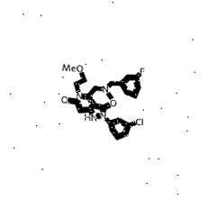 COCCn1c(CN(C)Cc2cccc(F)c2)c2c(=O)n(-c3cccc(Cl)c3)[nH]c2cc1=O